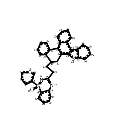 O=S1(c2ccccc2)=NC(CCC2Cc3c(c4ccccc4c4c3sc3ccccc34)-c3ccccc32)=Nc2ccccc21